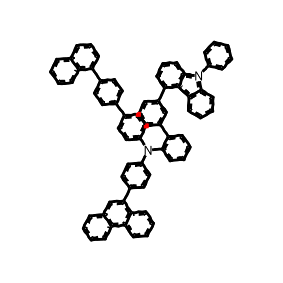 c1ccc(-n2c3ccccc3c3c(-c4cccc(-c5ccccc5N(c5ccc(-c6ccc(-c7cccc8ccccc78)cc6)cc5)c5ccc(-c6cc7ccccc7c7ccccc67)cc5)c4)cccc32)cc1